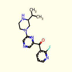 CC(C)C1CN(c2cncc(C(=O)c3cccnc3F)n2)CCN1